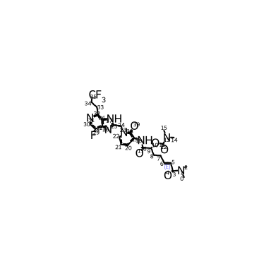 CN(C)C(=O)/C=C/CCC(OC(=O)N(C)C)C(=O)Nc1cccn(Cc2nc3c(F)cnc(CCC(F)(F)F)c3[nH]2)c1=O